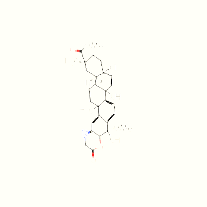 COC(=O)[C@]1(C)CC[C@]2(C)CC[C@]3(C)C4=CC=C5C(=CC6=NCC(=O)OC6[C@@]5(C)OC)[C@]4(C)CC[C@@]3(C)[C@@H]2C1